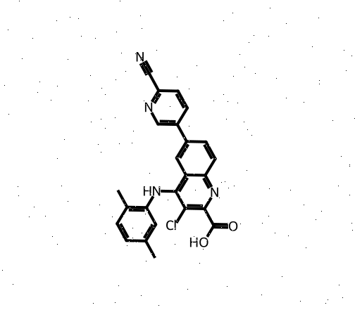 Cc1ccc(C)c(Nc2c(Cl)c(C(=O)O)nc3ccc(-c4ccc(C#N)nc4)cc23)c1